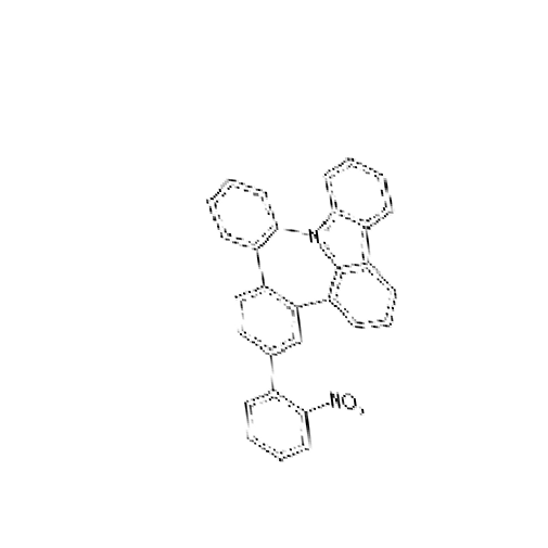 O=[N+]([O-])c1ccccc1-c1ccc2c(c1)-c1cccc3c4ccccc4n(c13)-c1ccccc1-2